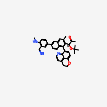 CNc1ccc(-c2ccc3c(-c4ccc5c6c(ccnc46)CCO5)c([C@H](OC(C)(C)C)C(C)=O)c(C)cc3c2)cc1C=N